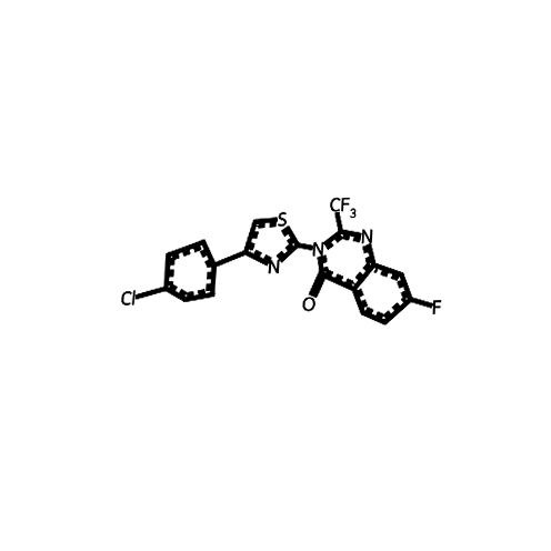 O=c1c2ccc(F)cc2nc(C(F)(F)F)n1-c1nc(-c2ccc(Cl)cc2)cs1